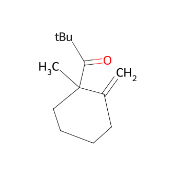 C=C1CCCCC1(C)C(=O)C(C)(C)C